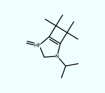 C=[PH]1CN(C(C)C)C2=C1C(C)(C)C2(C)C